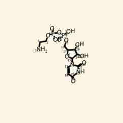 NCCOP(=O)(O)OP(=O)(O)OCC1OC(n2ccc(=O)[nH]c2=O)C(O)C1O